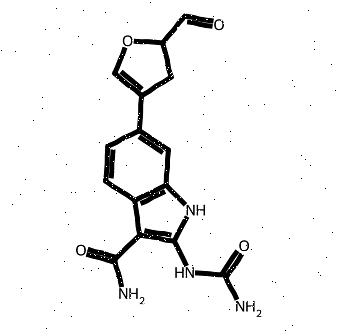 NC(=O)Nc1[nH]c2cc(C3=COC(C=O)C3)ccc2c1C(N)=O